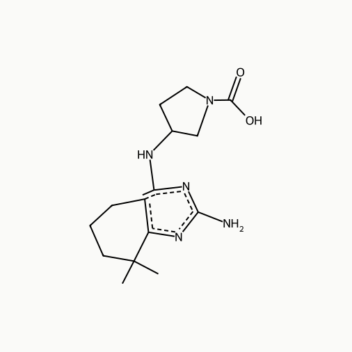 CC1(C)CCCc2c(NC3CCN(C(=O)O)C3)nc(N)nc21